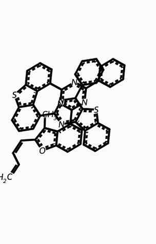 C=C/C=C\c1oc2cccc(-c3nc(-c4ccccc4)nc(-c4cccc5sc6cccc(-c7nc(-c8ccccc8)c8sc9ccccc9c8n7)c6c45)n3)c2c1C